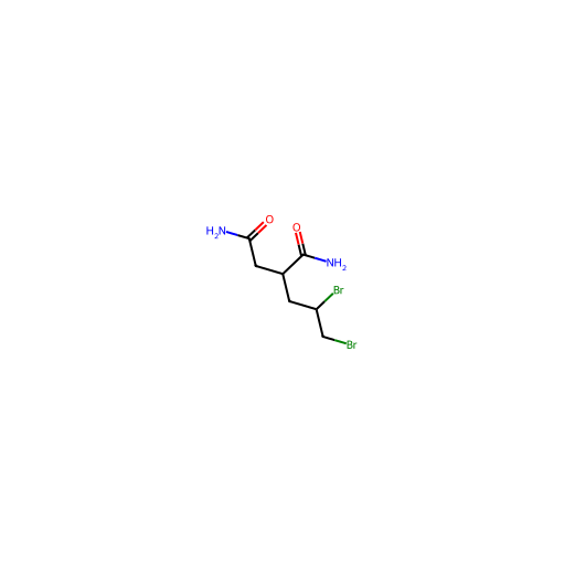 NC(=O)CC(CC(Br)CBr)C(N)=O